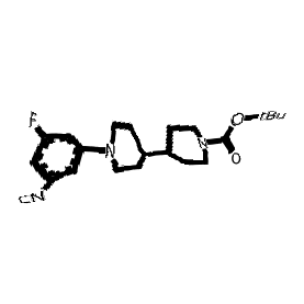 [C-]#[N+]c1cc(F)cc(N2CCC(C3CCN(C(=O)OC(C)(C)C)CC3)CC2)c1